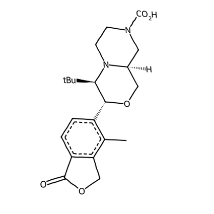 Cc1c([C@H]2OC[C@@H]3CN(C(=O)O)CCN3[C@@H]2C(C)(C)C)ccc2c1COC2=O